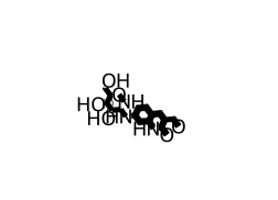 O=Cc1cc2ccc(NC3NOC(CO)[C@@H](O)C3O)cc2[nH]c1=O